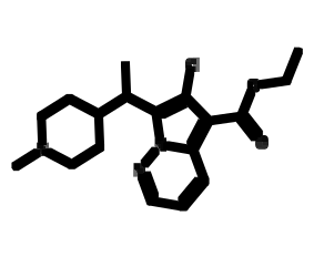 CCOC(=O)c1c(Cl)c(C(C)C2CCN(C)CC2)n2ncccc12